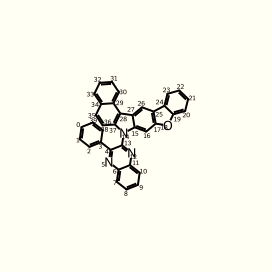 c1ccc(-c2nc3ccccc3nc2-n2c3cc4oc5ccccc5c4cc3c3c4ccccc4ccc32)cc1